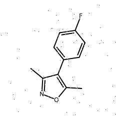 Cc1noc(C)c1-c1ccc(F)cc1